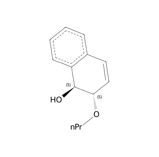 CCCO[C@H]1C=Cc2ccccc2[C@@H]1O